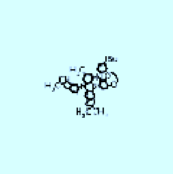 Cc1cc2c3c(c1)N(c1ccc(C(C)(C)C)cc1)c1c(ccc4c1OCCCO4)B3c1cc3c(cc1N2c1ccc2c(c1)CC(C)(C)C2)CC(C)(C)C3